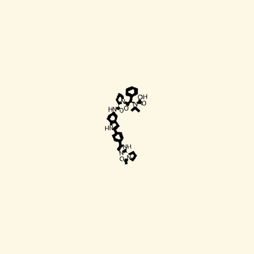 CC(=O)N1CCC[C@H]1c1ncc(-c2ccc(-c3cc4cc(NC(=O)[C@@H]5CCCN5C(=O)[C@@H](c5ccccc5)N(C(=O)O)C(C)C)ccc4[nH]3)cc2)[nH]1